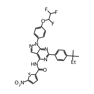 CCC(C)(C)c1ccc(-c2nc(NC(=O)c3ccc([N+](=O)[O-])s3)c3cnn(-c4ccc(OC(F)C(F)F)cc4)c3n2)cc1